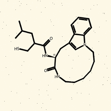 CC(C)CC(CS)C(=O)N[C@H]1Cc2cn(c3ccccc23)CCCCCCNC1=O